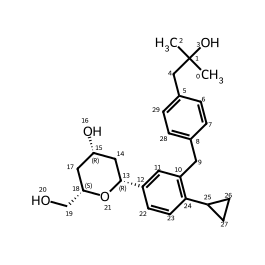 CC(C)(O)Cc1ccc(Cc2cc([C@H]3C[C@@H](O)C[C@@H](CO)O3)ccc2C2CC2)cc1